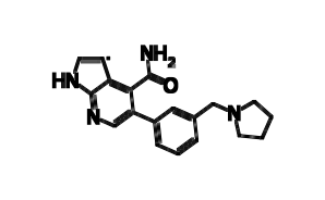 NC(=O)c1c(-c2cccc(CN3CCCC3)c2)cnc2[nH]c[c]c12